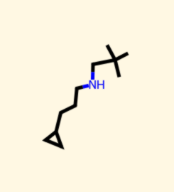 CC(C)(C)CNCCCC1CC1